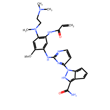 C=CC(=O)Nc1cc(Nc2nccc(-n3[nH]c(C(N)=O)c4cccc3-4)n2)c(OC)cc1N(C)CCN(C)C